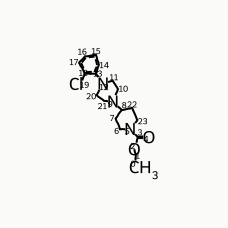 CCOC(=O)N1CCC(N2CCN(c3ccccc3Cl)CC2)CC1